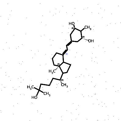 CC1[C@H](O)CC(=C/C=C2\CCC[C@@]3(C)C2CCC3[C@H](C)CCCC(C)(C)O)C[C@H]1O